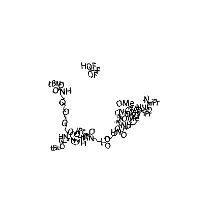 CC[C@H](C)[C@@H]([C@@H](CC(=O)N1CCC[C@H]1[C@H](OC)[C@@H](C)C(=O)N[C@@H](Cc1ccccc1)C(=O)NCCCOC(=O)C(C)(C)CCNC(=O)[C@@H](NC(=O)[C@@H]1CCCN1C(=O)[C@H](CC(=O)OC(C)(C)C)NC(=O)CCOCCOCCOCCNC(=O)OC(C)(C)C)C(C)C)OC)N(C)C(=O)[C@@H](NC(=O)[C@H](C(C)C)N(C)C)C(C)C.O=C(O)C(F)(F)F